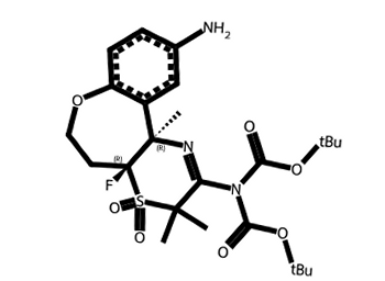 CC(C)(C)OC(=O)N(C(=O)OC(C)(C)C)C1=N[C@]2(C)c3cc(N)ccc3OCC[C@@]2(F)S(=O)(=O)C1(C)C